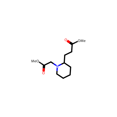 COC(=O)CCC1CCCCN1CC(=O)OC